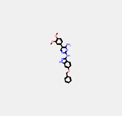 COc1ccc(-c2cnc(Nc3n[nH]c4cc(OCc5ccccc5)ccc34)nc2N)cc1OC